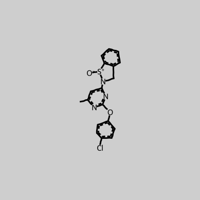 Cc1cc(N2Cc3ccccc3[S+]2[O-])nc(Oc2ccc(Cl)cc2)n1